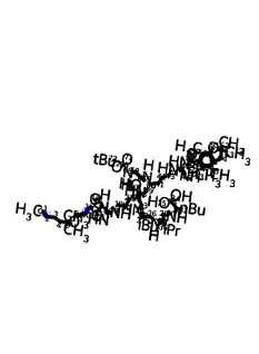 C/C=C/CCC(C)(C)OC/C=C/S(=O)(=O)NC(=N)NCCC[C@H](CN[C@@H](CN[C@@H](CN[C@H](CCCC)C(O)O)C(C)C)C(C)CC)NC[C@@H](CCCNC(=N)NS(=O)(=O)c1c(C)c(C)c2c(c1C)OC(C)(C)C2)NC(O)CNC(=O)OC(C)(C)C